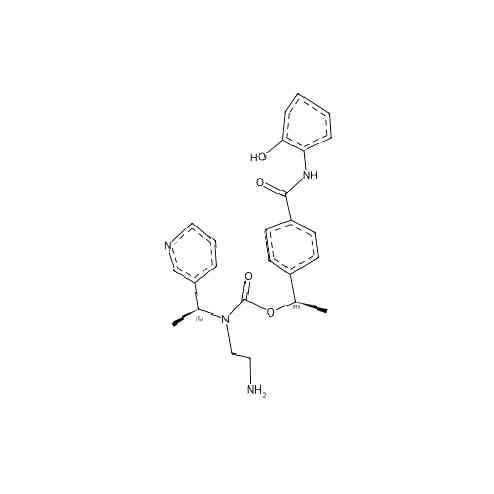 C[C@@H](OC(=O)N(CCN)[C@@H](C)c1cccnc1)c1ccc(C(=O)Nc2ccccc2O)cc1